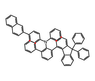 c1ccc(-c2cccc(-c3cccc4c3-c3ccccc3C4(c3ccccc3)c3ccccc3)c2N(c2ccccc2)c2ccc(-c3ccc4ccccc4c3)cc2)cc1